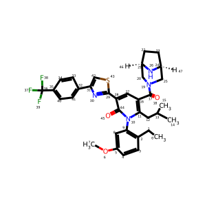 CCc1ccc(OC)cc1-n1c(CC(C)C)c(C(=O)N2C[C@H]3CC[C@@H](C2)N3)cc(-c2nc(-c3ccc(C(F)(F)F)cc3)cs2)c1=O